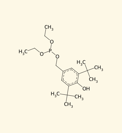 CCOP(OCC)OCc1cc(C(C)(C)C)c(O)c(C(C)(C)C)c1